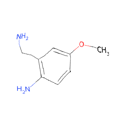 COc1ccc(N)c(CN)c1